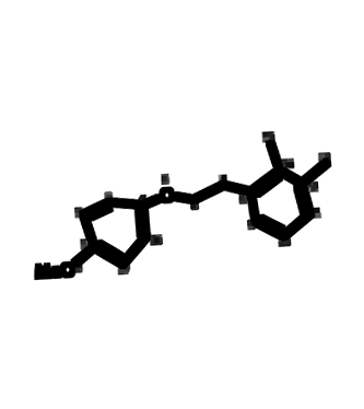 COc1ccc(OCCc2[c]ccc(C)c2C)cc1